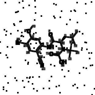 COc1cc(NC(=O)[C@@H](CC(C)C)N(C(=O)O)C(C)(C)C)c(C#N)cc1Br